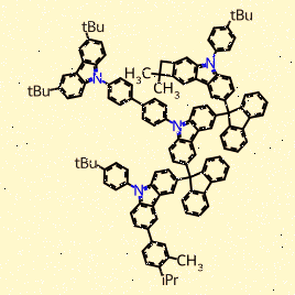 Cc1cc(-c2ccc3c(c2)c2cc(C4(c5ccc6c(c5)c5cc(C7(c8ccc9c(c8)c8cc%10c(cc8n9-c8ccc(C(C)(C)C)cc8)CC%10(C)C)c8ccccc8-c8ccccc87)ccc5n6-c5ccc(-c6ccc(-n7c8ccc(C(C)(C)C)cc8c8cc(C(C)(C)C)ccc87)cc6)cc5)c5ccccc5-c5ccccc54)ccc2n3-c2ccc(C(C)(C)C)cc2)ccc1C(C)C